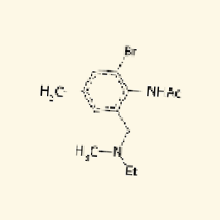 CCN(C)Cc1cc(C)cc(Br)c1NC(C)=O